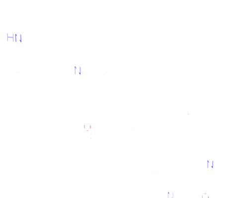 Cc1c(C2CN3CCNCC3CO2)ccc2nonc12